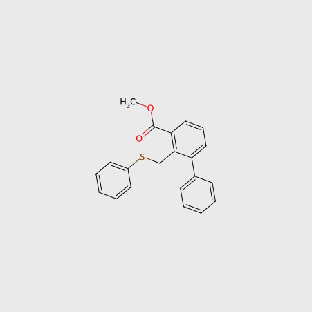 COC(=O)c1cccc(-c2ccccc2)c1CSc1ccccc1